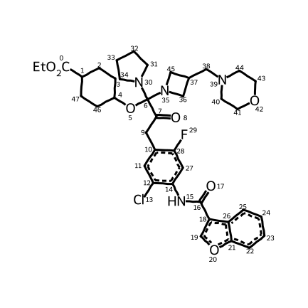 CCOC(=O)C1CCC(OC(C(=O)Cc2cc(Cl)c(NC(=O)c3coc4ccccc34)cc2F)(N2CCCC2)N2CC(CN3CCOCC3)C2)CC1